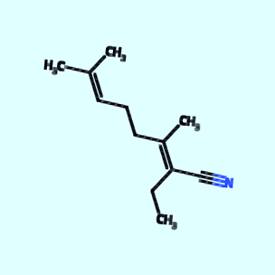 CCC(C#N)=C(C)CCC=C(C)C